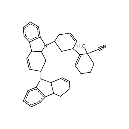 CC1(C#N)CCCC=C1C1C=CCC(N2c3ccccc3C3C=CC(N4c5ccccc5C5CCC=CC54)CC32)C1